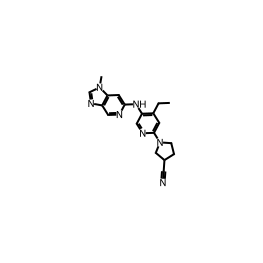 CCc1cc(N2CCC(C#N)C2)ncc1Nc1cc2c(cn1)ncn2C